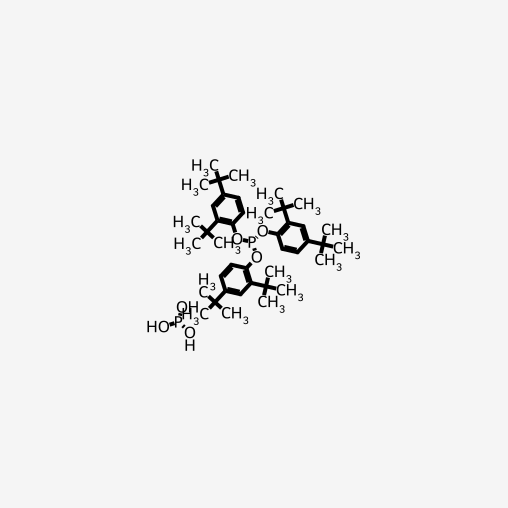 CC(C)(C)c1ccc(OP(Oc2ccc(C(C)(C)C)cc2C(C)(C)C)Oc2ccc(C(C)(C)C)cc2C(C)(C)C)c(C(C)(C)C)c1.OP(O)O